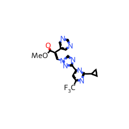 COC(=O)/C(=C/n1cnc(-c2cc(C(F)(F)F)nc(C3CC3)n2)n1)c1cncnc1